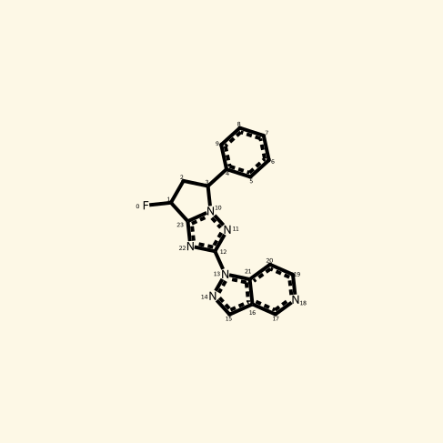 FC1CC(c2ccccc2)n2nc(-n3ncc4cnccc43)nc21